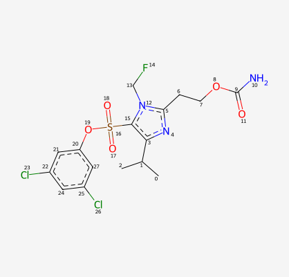 CC(C)c1nc(CCOC(N)=O)n(CF)c1S(=O)(=O)Oc1cc(Cl)cc(Cl)c1